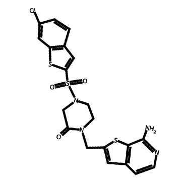 Nc1nccc2cc(CN3CCN(S(=O)(=O)c4cc5ccc(Cl)cc5s4)CC3=O)sc12